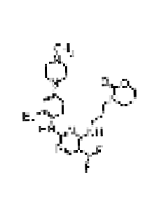 CCc1cc(N2CCN(C)CC2)ccc1Nc1ncc(C(F)F)c(NCCCN2CCCOC2=O)n1